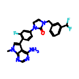 Cn1cc(-c2ccc(N3CCN(Cc4cccc(C(F)F)c4)C3=O)cc2F)c2c(N)ncnc21